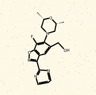 C[C@@H]1CN(c2c(CO)cc3c(-c4ncccn4)noc3c2F)C[C@H](C)O1